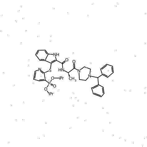 CC(C)OP(=O)(OC(C)C)c1cccnc1Sc1c(C(=O)N[C@H](C)C(=O)N2CCN(C(c3ccccc3)c3ccccc3)CC2)[nH]c2ccccc12